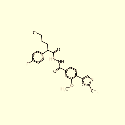 COc1cc(C(=O)NNC(=O)C(CCCCl)c2ccc(F)cc2)ccc1-c1cnc(C)o1